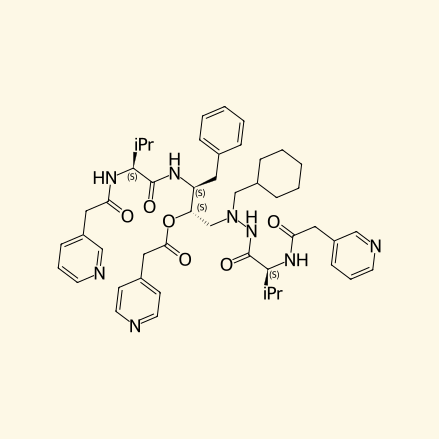 CC(C)[C@H](NC(=O)Cc1cccnc1)C(=O)N[C@@H](Cc1ccccc1)[C@H](CN(CC1CCCCC1)NC(=O)[C@@H](NC(=O)Cc1cccnc1)C(C)C)OC(=O)Cc1ccncc1